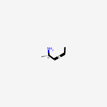 CC=C=C[C@H](C)N